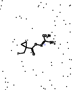 CCOC(=O)/C(N)=N\OC(=O)C1(CF)CC1